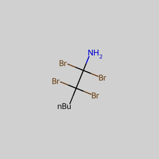 CCCCC(Br)(Br)C(N)(Br)Br